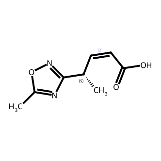 Cc1nc([C@@H](C)/C=C\C(=O)O)no1